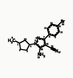 CC1CCC(n2nc(-c3ccc(Br)cc3)c(C#N)c2N)C1